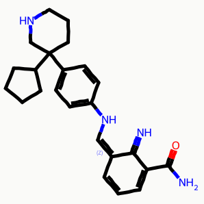 N=C1C(C(N)=O)=CC=C/C1=C/Nc1ccc(C2(C3CCCC3)CCCNC2)cc1